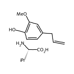 C=CCc1ccc(O)c(OC)c1.CC(C)[C@H](N)C(=O)O